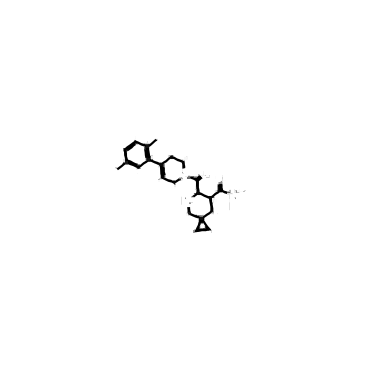 Cc1ccc(C)c(C2=CCN(C(=O)C3NCC4(CC4)CC3C(=O)NO)CC2)c1